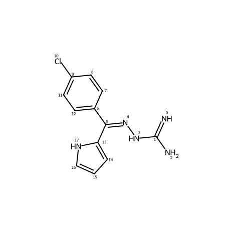 N=C(N)NN=C(c1ccc(Cl)cc1)c1ccc[nH]1